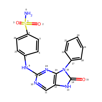 NS(=O)(=O)c1ccc(Nc2ncc3[nH]c(=O)n(-c4ccccc4)c3n2)cc1